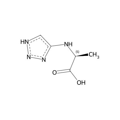 C[C@H](Nc1c[nH]nn1)C(=O)O